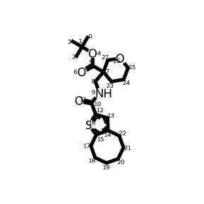 CC(C)(C)OC(=O)C1(CNC(=O)c2cc3c(s2)CCCCCC3)CCCOC1